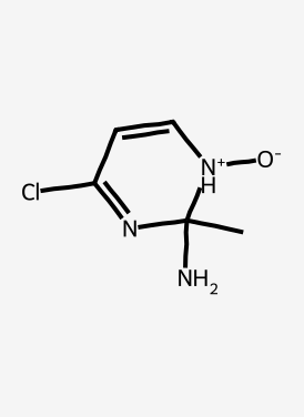 CC1(N)N=C(Cl)C=C[NH+]1[O-]